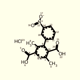 Cc1nc(C(=O)O)c(C)c(-c2cccc([N+](=O)[O-])c2)c1C(=O)O.Cl